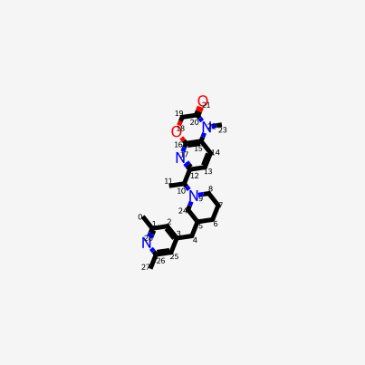 Cc1cc(CC2CCCN(C(C)c3ccc4c(n3)OCC(=O)N4C)C2)cc(C)n1